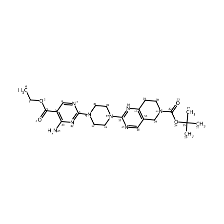 CCOC(=O)c1cnc(N2CCN(c3ncc4c(n3)CCN(C(=O)OC(C)(C)C)C4)CC2)nc1N